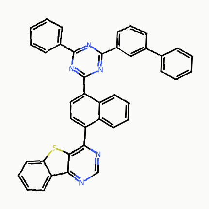 c1ccc(-c2cccc(-c3nc(-c4ccccc4)nc(-c4ccc(-c5ncnc6c5sc5ccccc56)c5ccccc45)n3)c2)cc1